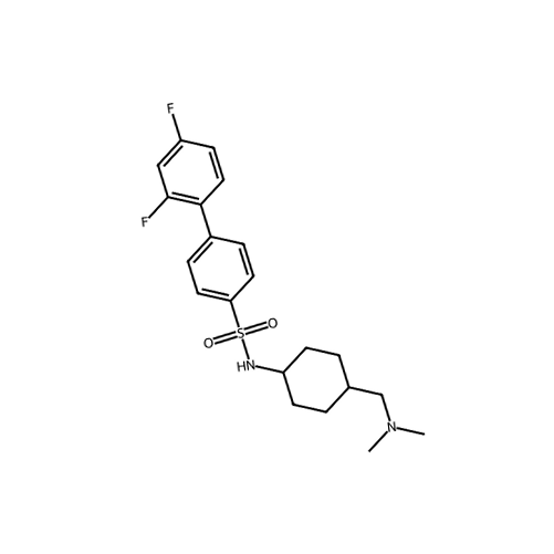 CN(C)CC1CCC(NS(=O)(=O)c2ccc(-c3ccc(F)cc3F)cc2)CC1